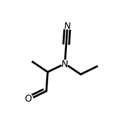 CCN(C#N)C(C)C=O